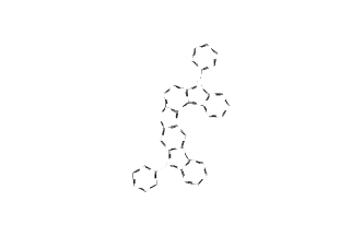 c1ccc(-n2c3ccccc3c3cc4c(cc32)oc2ccc3c(c5ccccc5n3-c3ccccc3)c24)cc1